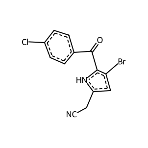 N#CCc1cc(Br)c(C(=O)c2ccc(Cl)cc2)[nH]1